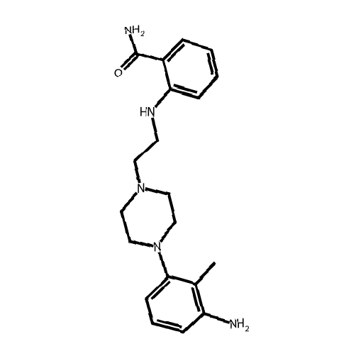 Cc1c(N)cccc1N1CCN(CCNc2ccccc2C(N)=O)CC1